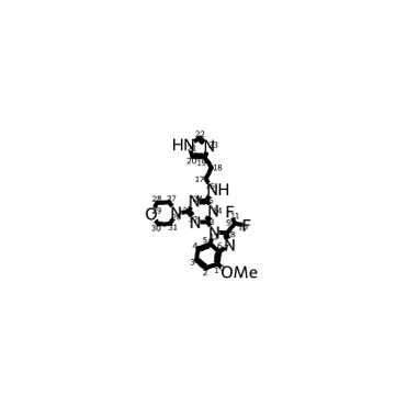 COc1cccc2c1nc(C(F)F)n2-c1nc(NCCc2c[nH]cn2)nc(N2CCOCC2)n1